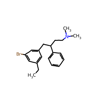 CCc1cc(Br)cc(CC(CCN(C)C)c2ccccc2)c1